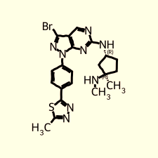 CN[C@]1(C)CC[C@@H](Nc2ncc3c(Br)nn(-c4ccc(-c5nnc(C)s5)cc4)c3n2)C1